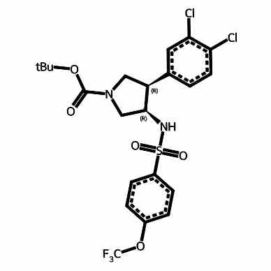 CC(C)(C)OC(=O)N1C[C@H](NS(=O)(=O)c2ccc(OC(F)(F)F)cc2)[C@H](c2ccc(Cl)c(Cl)c2)C1